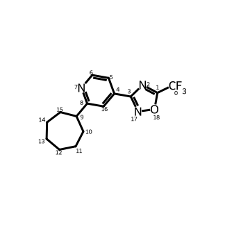 FC(F)(F)c1nc(-c2ccnc(C3CCCCCC3)c2)no1